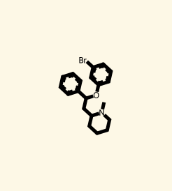 CN1CCCCC1CC(Oc1cccc(Br)c1)c1ccccc1